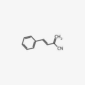 C=C(C#N)C=Cc1ccccc1